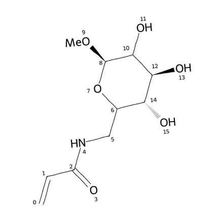 C=CC(=O)NCC1O[C@@H](OC)C(O)[C@@H](O)[C@@H]1O